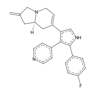 C=C1C[C@@H]2CC(c3c[nH]c(-c4ccc(F)cc4)c3-c3ccncc3)=CCN2C1